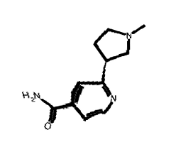 CN1CC[C@H](c2cc(C(N)=O)ccn2)C1